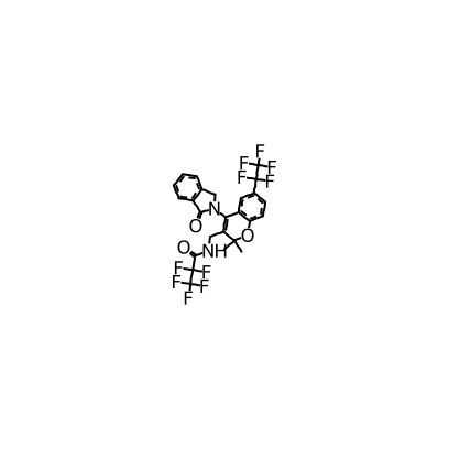 CC1(C)Oc2ccc(C(F)(F)C(F)(F)F)cc2C(N2Cc3ccccc3C2=O)=C1CNC(=O)C(F)(F)C(F)(F)F